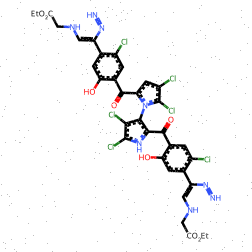 CCOC(=O)CN/C=C(\N=N)c1cc(O)c(C(=O)c2[nH]c(Cl)c(Cl)c2-n2c(C(=O)c3cc(Cl)c(/C(=C/NCC(=O)OCC)N=N)cc3O)cc(Cl)c2Cl)cc1Cl